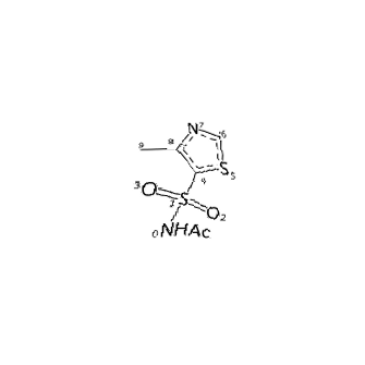 CC(=O)NS(=O)(=O)c1s[c]nc1C